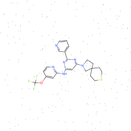 FC(F)(F)Oc1ccnc(Nc2cc(N3CCC4(CCSCC4)C3)nc(-c3cccnc3)n2)c1